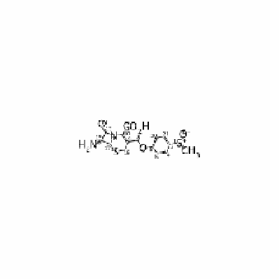 C[S+]([O-])c1ccc(OCC2=C(C(=O)O)N3C(=O)C(N)C3SC2)cc1